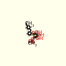 CCc1ccc(Cc2ccccc2O[C@@H]2S[C@H](COC(=O)OC)[C@@H](O)[C@H](O)[C@H]2O)cc1